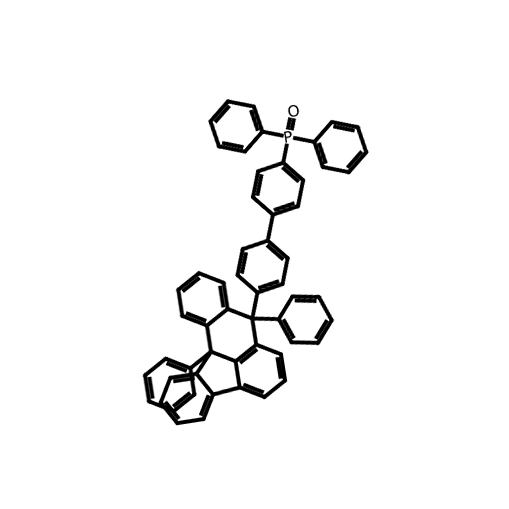 O=P(c1ccccc1)(c1ccccc1)c1ccc(-c2ccc(C3(c4ccccc4)c4ccccc4C4(c5ccccc5)c5ccccc5-c5cccc3c54)cc2)cc1